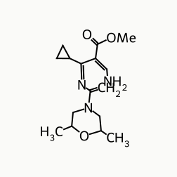 C=C(/N=C(\C(=C/N)C(=O)OC)C1CC1)N1CC(C)OC(C)C1